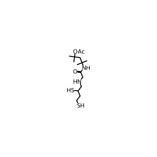 CC(=O)OC(C)(C)CC(C)(C)NC(=O)CNCC(S)CCS